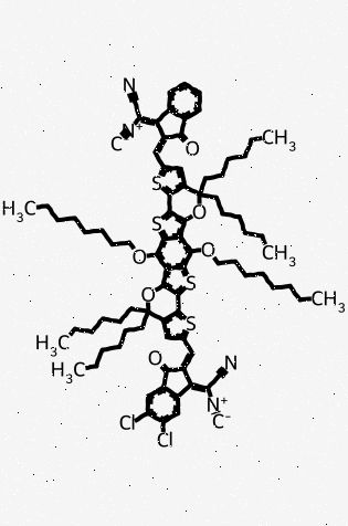 [C-]#[N+]/C(C#N)=C1\C(=C\c2cc3c(s2)-c2sc4c(OCCCCCCCC)c5c6c(sc5c(OCCCCCCCC)c4c2OC3(CCCCCC)CCCCCC)-c2sc(/C=C3\C(=O)c4cc(Cl)c(Cl)cc4\C3=C(\C#N)[N+]#[C-])cc2C(CCCCCC)(CCCCCC)O6)C(=O)c2ccccc21